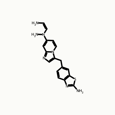 N/C=C\N(N)c1ccn2c(Cc3ccc4nc(N)sc4c3)cnc2c1